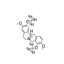 [2H]C([2H])([2H])Oc1cc2c(cc1OC)CCN1Cc3c(ccc(OC)c3OC([2H])([2H])[2H])C[C@@H]21